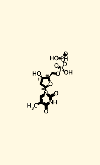 Cc1cn([C@H]2C[C@@H](O)[C@@H](COP(=O)(O)O[PH](=O)O)O2)c(=O)[nH]c1=O